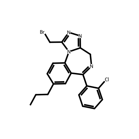 CCCc1ccc2c(c1)C(c1ccccc1Cl)=NCc1nnc(CBr)n1-2